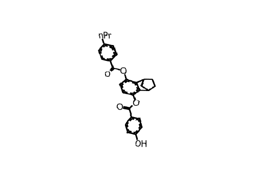 CCCc1ccc(C(=O)Oc2ccc(OC(=O)c3ccc(O)cc3)c3c2C2CCC3C2)cc1